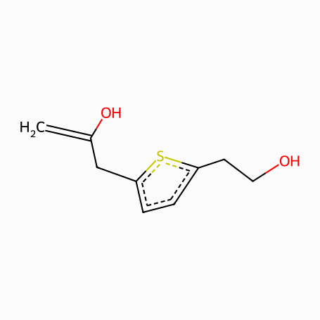 C=C(O)Cc1ccc(CCO)s1